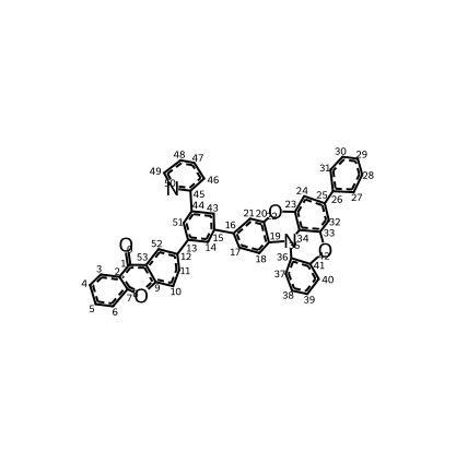 O=c1c2ccccc2oc2ccc(-c3cc(-c4ccc5c(c4)Oc4cc(-c6ccccc6)cc6c4N5c4ccccc4O6)cc(-c4ccccn4)c3)cc12